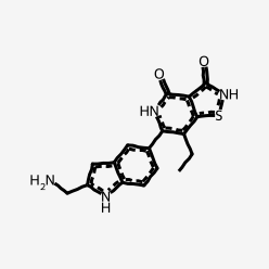 CCc1c(-c2ccc3[nH]c(CN)cc3c2)[nH]c(=O)c2c(=O)[nH]sc12